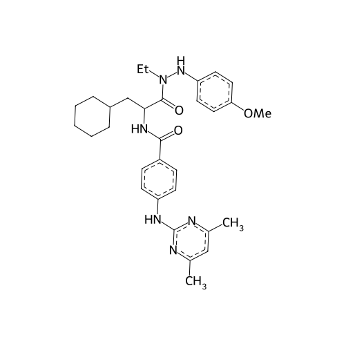 CCN(Nc1ccc(OC)cc1)C(=O)C(CC1CCCCC1)NC(=O)c1ccc(Nc2nc(C)cc(C)n2)cc1